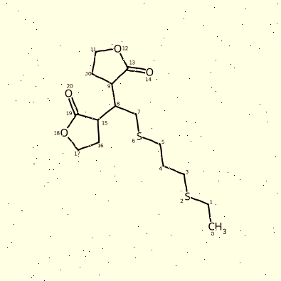 CCSCCCSCC(C1CCOC1=O)C1CCOC1=O